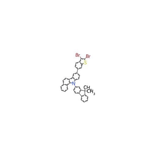 CC1(C)c2ccccc2-c2ccc(-n3c4ccc(-c5ccc6c(Br)c(Br)sc6c5)cc4c4ccc5ccccc5c43)cc21